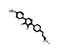 C=CCCC1CCC(c2ccc(C3C=CC(CCCC)CC3)c(F)c2F)CC1